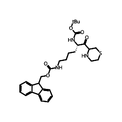 CC(C)(C)OC(=O)N[C@@H](CCCCNC(=O)OCC1c2ccccc2-c2ccccc21)C(=O)C1CSCCN1